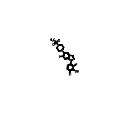 CS(=O)(=O)N1CCN(c2cc3cnn(-c4ccc(Cl)c(O)c4F)c3cc2F)CC1